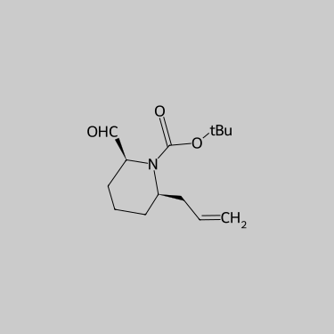 C=CC[C@H]1CCC[C@@H](C=O)N1C(=O)OC(C)(C)C